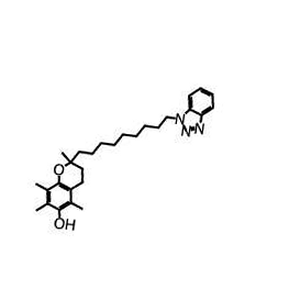 Cc1c(C)c2c(c(C)c1O)CCC(C)(CCCCCCCCCn1nnc3ccccc31)O2